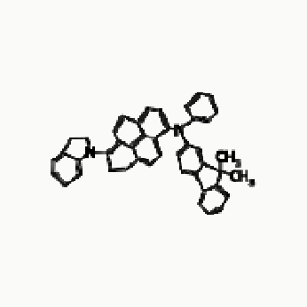 CC1(C)c2ccccc2-c2ccc(N(c3ccccc3)c3ccc4ccc5c(N6CCc7ccccc76)ccc6ccc3c4c65)cc21